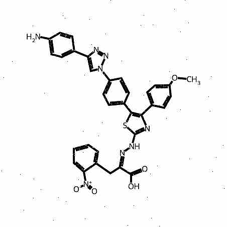 COc1ccc(-c2nc(N/N=C(/Cc3ccccc3[N+](=O)[O-])C(=O)O)sc2-c2ccc(-n3cc(-c4ccc(N)cc4)nn3)cc2)cc1